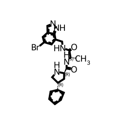 C[C@H](NC(=O)[C@H]1C[C@H](c2ccccc2)CN1)C(=O)NCc1cc(Br)cc2cn[nH]c12